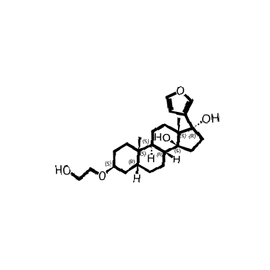 C[C@]12CC[C@H](OCCO)C[C@H]1CC[C@@H]1[C@@H]2CC[C@]2(C)[C@@](O)(c3ccoc3)CC[C@]12O